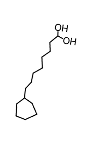 OC(O)CCCCCCCC1CCCCC1